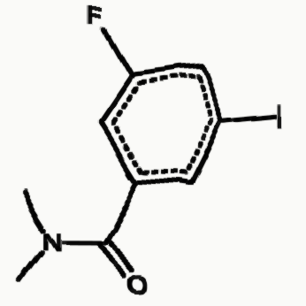 CN(C)C(=O)c1cc(F)cc(I)c1